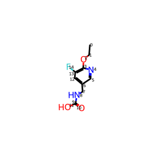 CCOc1ncc(CNC(=O)O)cc1F